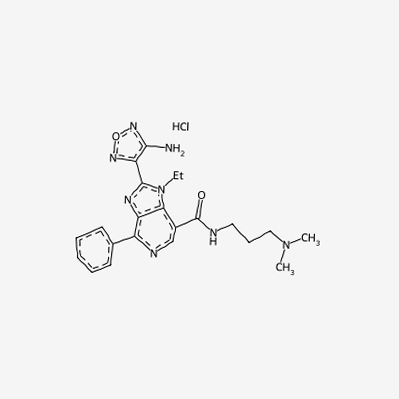 CCn1c(-c2nonc2N)nc2c(-c3ccccc3)ncc(C(=O)NCCCN(C)C)c21.Cl